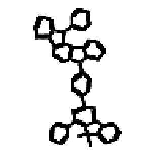 CC1(C)c2ccccc2-c2nc(-c3ccc(-n4c5ccccc5c5c4ccc4c6ccccc6n(-c6ccccc6)c45)cc3)nc(-c3ccccc3)c21